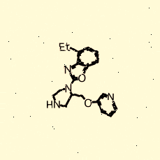 CCc1cccc2oc(N3CCNCC3COc3cccnc3)nc12